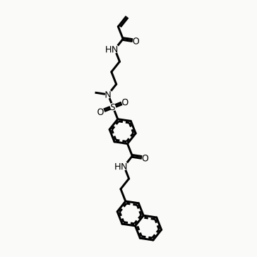 C=CC(=O)NCCCN(C)S(=O)(=O)c1ccc(C(=O)NCCc2ccc3ccccc3c2)cc1